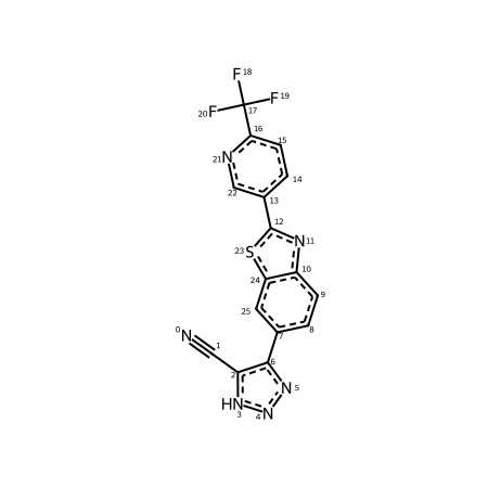 N#Cc1[nH]nnc1-c1ccc2nc(-c3ccc(C(F)(F)F)nc3)sc2c1